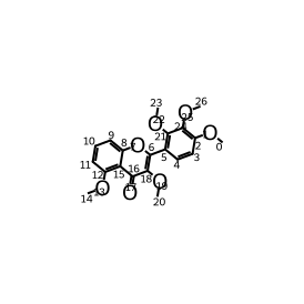 COc1ccc(-c2oc3cccc(OC)c3c(=O)c2OC)c(OC)c1OC